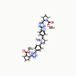 [2H]N1C(c2ccc(-c3nnc(C4CCCC4C(=O)OC(C)(C)C)[nH]3)cc2)CCC1c1ccc(-c2nnc(C3CCCN3C(=O)OC(C)(C)C)[nH]2)cc1